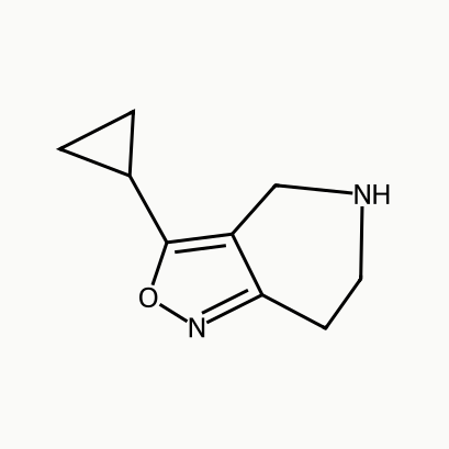 C1Cc2noc(C3CC3)c2CN1